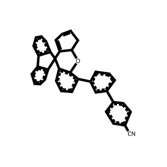 N#Cc1ccc(-c2cccc(-c3cccc4c3OC3CC=CC=C3C43c4ccccc4-c4ccccc43)c2)cc1